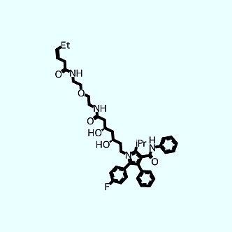 CC/C=C\CC(=O)NCCOCCNC(=O)C[C@H](O)C[C@H](O)CCn1c(-c2ccc(F)cc2)c(-c2ccccc2)c(C(=O)Nc2ccccc2)c1C(C)C